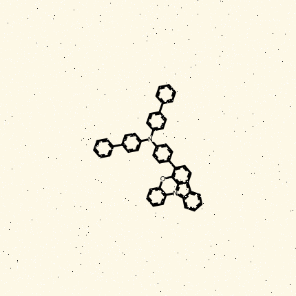 c1ccc(-c2ccc(N(c3ccc(-c4ccccc4)cc3)c3ccc(-c4ccc5c6ccccc6n6c5c4Oc4ccccc4-6)cc3)cc2)cc1